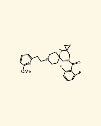 COc1cccc(CCN2CCC3(CC2)CN(C(=O)c2c(F)cccc2F)CC2(CC2)O3)n1